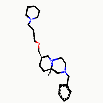 c1ccc(CN2CCN3C[C@H](COCCCN4CCCCC4)CC[C@H]3C2)cc1